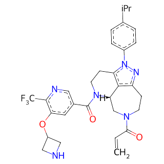 C=CC(=O)N1CCc2nn(-c3ccc(C(C)C)cc3)c3c2[C@H](C1)N(C(=O)c1cnc(C(F)(F)F)c(OC2CNC2)c1)CC3